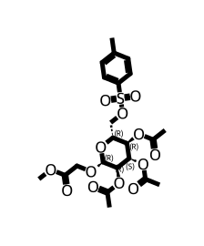 COC(=O)CO[C@@H]1O[C@H](COS(=O)(=O)c2ccc(C)cc2)[C@@H](OC(C)=O)[C@H](OC(C)=O)[C@H]1OC(C)=O